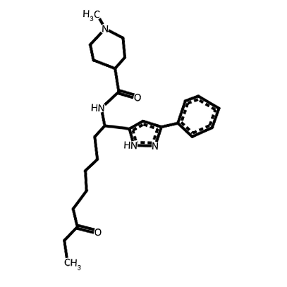 CCC(=O)CCCCCC(NC(=O)C1CCN(C)CC1)c1cc(-c2ccccc2)n[nH]1